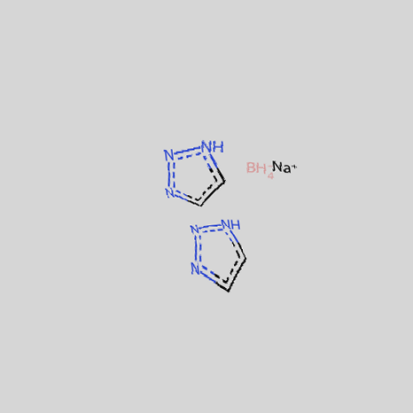 [BH4-].[Na+].c1c[nH]nn1.c1c[nH]nn1